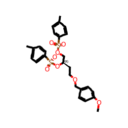 COc1ccc(COCC[C@H](COS(=O)(=O)c2ccc(C)cc2)OS(=O)(=O)c2ccc(C)cc2)cc1